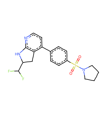 O=S(=O)(c1ccc(-c2ccnc3c2CC(C(F)F)N3)cc1)N1CCCC1